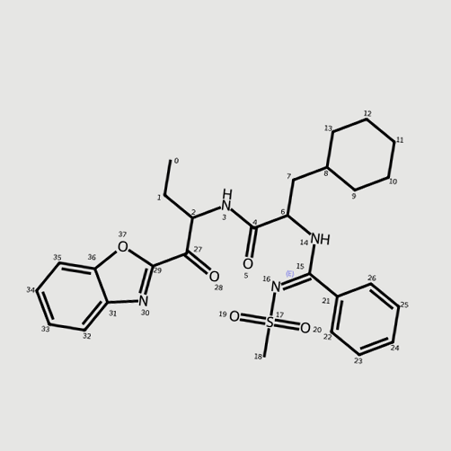 CCC(NC(=O)C(CC1CCCCC1)N/C(=N/S(C)(=O)=O)c1ccccc1)C(=O)c1nc2ccccc2o1